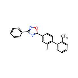 Cc1cc(-c2nc(-c3ccccc3)no2)ccc1-c1ccccc1C(F)(F)F